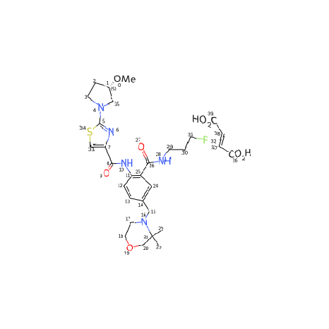 CO[C@H]1CCN(c2nc(C(=O)Nc3ccc(CN4CCOCC4(C)C)cc3C(=O)NCCCF)cs2)C1.O=C(O)C=CC(=O)O